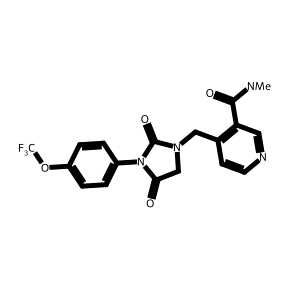 CNC(=O)c1cnccc1CN1CC(=O)N(c2ccc(OC(F)(F)F)cc2)C1=O